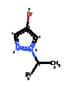 CC(C)C(C)n1cc(Br)cn1